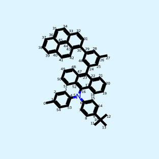 Cc1ccc(N(c2ccc(C(C)(C)C)cc2)c2c3ccccc3c(-c3cc(C)cc(-c4ccc5ccc6cccc7ccc4c5c67)c3)c3ccccc23)cc1